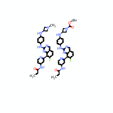 C=CC(=O)Nc1ccnc(-c2c(F)ccc3cnc(Nc4ccc(NC5CN(C(=O)OC(C)(C)C)C5)cc4)nc23)c1.C=CC(=O)Nc1ccnc(-c2c(F)ccc3cnc(Nc4ccc(NC5CN(C)C5)cc4)nc23)c1